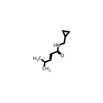 CC(C)C=CC(=O)NCC1CC1